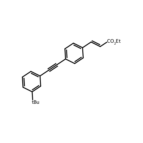 CCOC(=O)/C=C/c1ccc(C#Cc2cccc(C(C)(C)C)c2)cc1